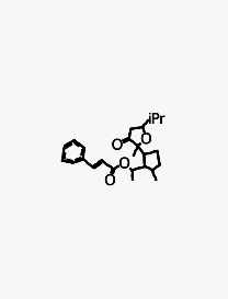 CC(C)C1CC(=O)C(C)(C2CCC(C)C2C(C)OC(=O)/C=C/c2ccccc2)O1